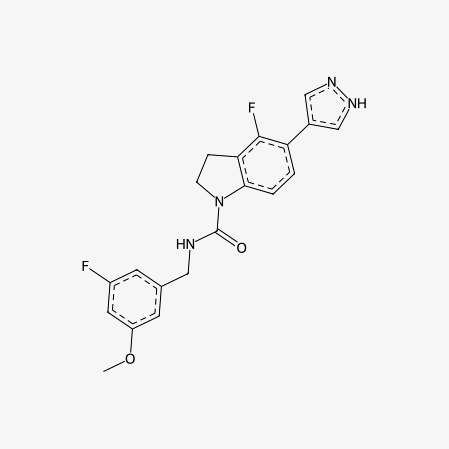 COc1cc(F)cc(CNC(=O)N2CCc3c2ccc(-c2cn[nH]c2)c3F)c1